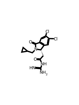 N=C(N)NC(=O)C[C@H]1c2cc(Cl)c(Cl)cc2C(=O)N1CC1CC1